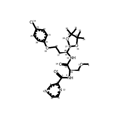 COC[C@@H](NC(=O)c1cnccn1)C(=O)N[C@@H](CCOc1ccc(Cl)cc1)B1OC(C)(C)C(C)(C)O1